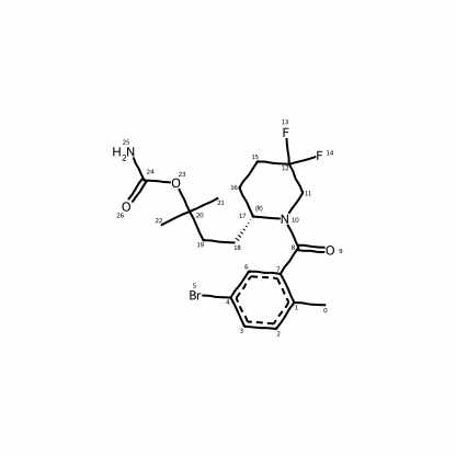 Cc1ccc(Br)cc1C(=O)N1CC(F)(F)CC[C@H]1CCC(C)(C)OC(N)=O